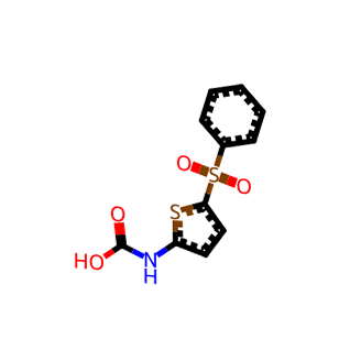 O=C(O)Nc1ccc(S(=O)(=O)c2ccccc2)s1